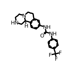 O=C(Nc1ccc(C(F)(F)F)cc1)Nc1ccc2c(c1)CCN1CCNC[C@@H]21